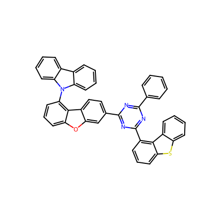 c1ccc(-c2nc(-c3ccc4c(c3)oc3cccc(-n5c6ccccc6c6ccccc65)c34)nc(-c3cccc4sc5ccccc5c34)n2)cc1